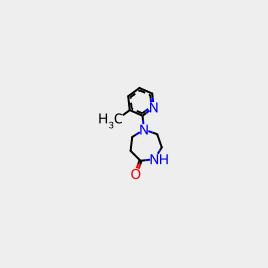 Cc1cccnc1N1CCNC(=O)CC1